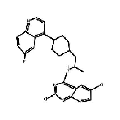 CC(CC1CCC(c2ccnc3ccc(F)cc23)CC1)Nc1nc(Cl)nc2ccc(Cl)cc12